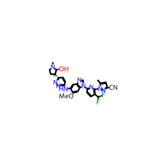 COc1cc2c(cc1Nc1ccc([C@@H]3CCN(C)C3O)nn1)ncn2-c1ccc(C(F)F)c(-n2nc(C#N)cc2C)n1